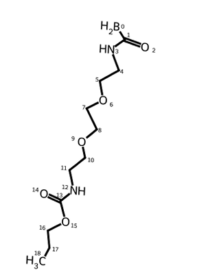 BC(=O)NCCOCCOCCNC(=O)OCCC